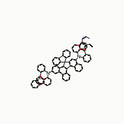 C=Cc1oc2c(N(c3ccccc3-c3ccccc3)c3cc4c(c5ccccc35)-c3c(c5ccc(N(c6ccccc6-c6ccccc6)c6cccc7c6oc6ccccc67)cc5c5ccccc35)C43c4ccccc4-c4ccccc43)cccc2c1/C=C\C